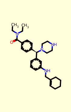 CCN(CC)C(=O)c1ccc([C@H](c2cccc(NCC3=CCCCC3)c2)N2CCNCC2)cc1